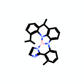 Cc1cccc2c1-c1nccn1B1N2c2cccc3c2N1c1c(C(C)C)cccc1C3C